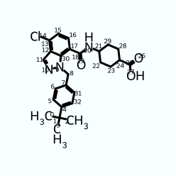 CC(C)(C)c1ccc(Cn2ncc3c(Cl)ccc(C(=O)NC4CCC(C(=O)O)CC4)c32)cc1